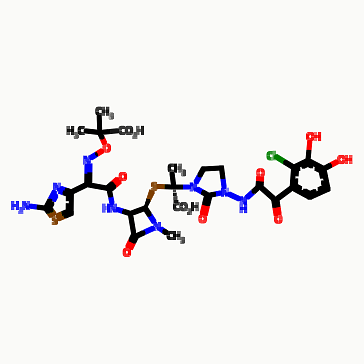 CN1C(=O)C(NC(=O)/C(=N\OC(C)(C)C(=O)O)c2csc(N)n2)[C@H]1S[C@](C)(C(=O)O)N1CCN(NC(=O)C(=O)c2ccc(O)c(O)c2Cl)C1=O